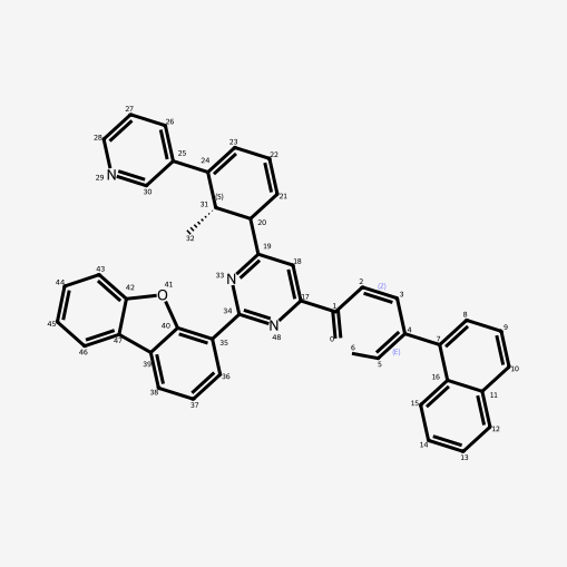 C=C(/C=C\C(=C/C)c1cccc2ccccc12)c1cc(C2C=CC=C(c3cccnc3)[C@H]2C)nc(-c2cccc3c2oc2ccccc23)n1